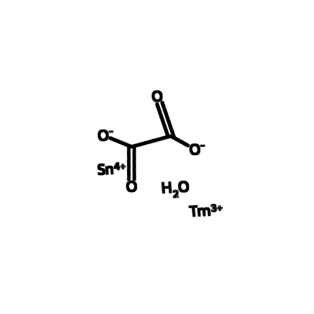 O.O=C([O-])C(=O)[O-].[Sn+4].[Tm+3]